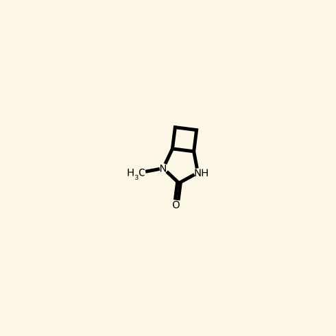 CN1C(=O)NC2CCC21